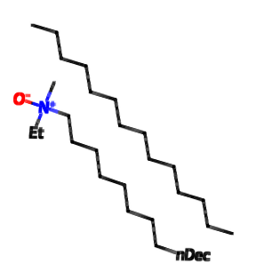 CCCCCCCCCCCCCC.CCCCCCCCCCCCCCCCCC[N+](C)([O-])CC